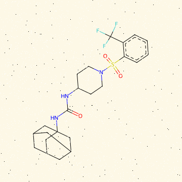 O=C(NC1CCN(S(=O)(=O)c2ccccc2C(F)(F)F)CC1)NC12CC3CC(CC(C3)C1)C2